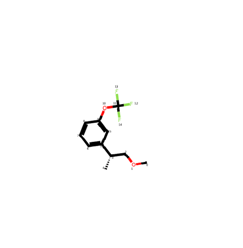 COC[C@H](C)c1cccc(OC(F)(F)F)c1